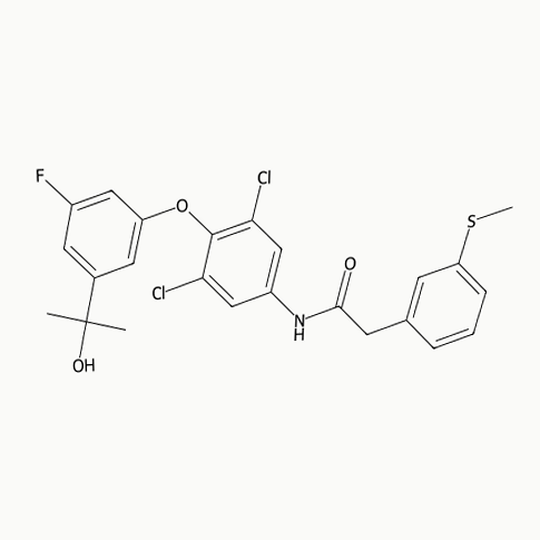 CSc1cccc(CC(=O)Nc2cc(Cl)c(Oc3cc(F)cc(C(C)(C)O)c3)c(Cl)c2)c1